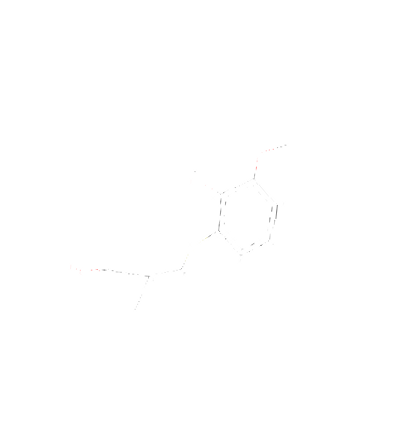 COc1cccc(SCC(C)CO)c1O